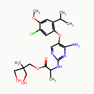 COc1cc(C(C)C)c(Oc2cnc(NC(C)C(=O)OCC(C)(CO)CO)nc2N)cc1Cl